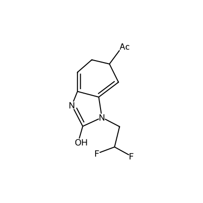 CC(=O)C1C=c2c(nc(O)n2CC(F)F)=CC1